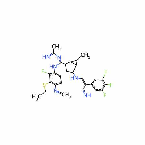 C=Nc1ccc(N/C(=N\C(C)=N)C2CC(N/C=C(\C=N)c3cc(F)c(F)c(F)c3)C3C(C)C23)c(F)c1SCC